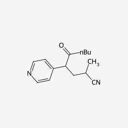 CCCCC(=O)C(CC(C)C#N)c1ccncc1